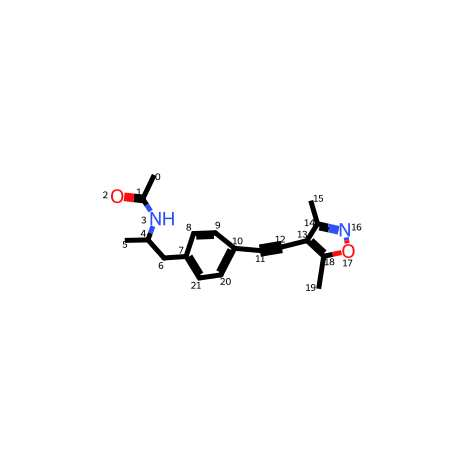 CC(=O)NC(C)Cc1ccc(C#Cc2c(C)noc2C)cc1